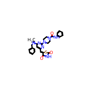 CN(Cc1ccccc1)c1cc(C=C2SC(=O)NC2=O)nc(N2CCN(C(=O)Nc3ccccc3)CC2)n1